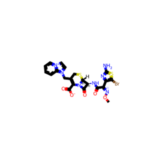 CO/N=C(\C(=O)N[C@@H]1C(=O)N2C(C(=O)[O-])=C(Cn3cc[n+]4ccccc34)CS[C@H]12)c1nc(N)sc1Br